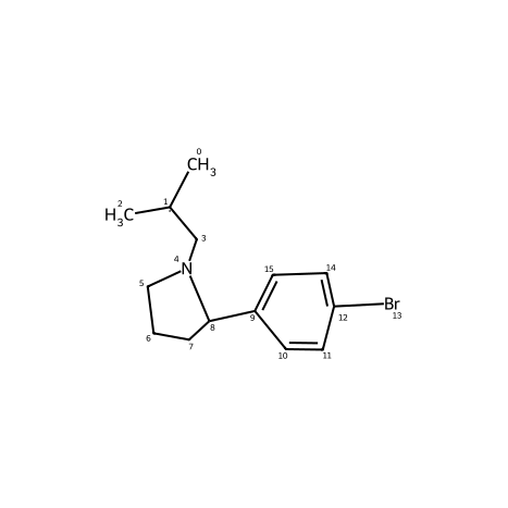 C[C](C)CN1CCCC1c1ccc(Br)cc1